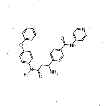 CCN(C(=O)CC(N)c1ccc(C(=O)Nc2ccncc2)cc1)c1ccc(Oc2ccccc2)cc1